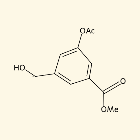 COC(=O)c1cc([CH]O)cc(OC(C)=O)c1